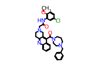 COc1ccc(Cl)cc1NC(=O)CN1CCc2nc3ccccc3c(C(=O)N3CCCN(Cc4ccccc4)CC3)c2C1